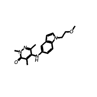 COCCn1ccc2cc(Nc3c(C)nn(C)c(=O)c3C)ccc21